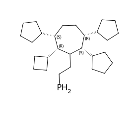 PCCC1[C@@H](C2CCCC2)[C@@H](C2CCCC2)CC[C@@H](C2CCCC2)[C@H]1C1CCC1